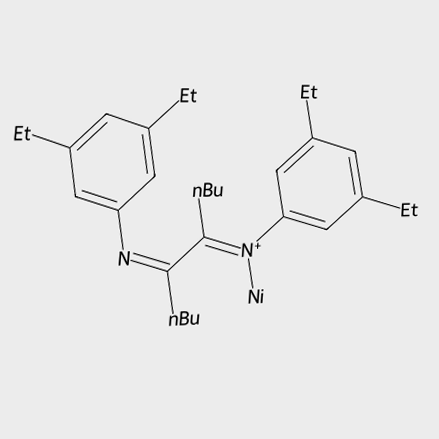 CCCCC(=Nc1cc(CC)cc(CC)c1)C(CCCC)=[N+]([Ni])c1cc(CC)cc(CC)c1